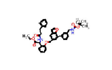 CCOC(=O)C(NC(=O)CCc1ccccc1)c1ccccc1OCc1cc(-c2cccc(CNC(=O)OC(C)(C)C)c2)c2occc2c1